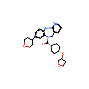 O=C([C@H]1CC[C@@H](OC2CCOC2)CC1)N1Cc2cccnc2Nc2ccc(C3CCOCC3)cc21